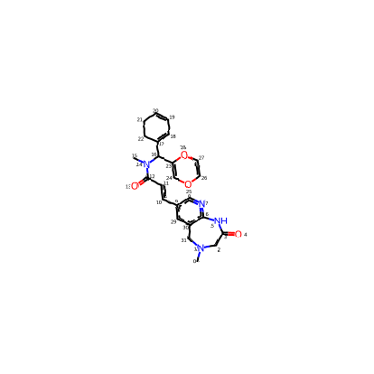 CN1CC(=O)Nc2ncc(/C=C/C(=O)N(C)C(C3=CC=CCC3)C3=COC=CO3)cc2C1